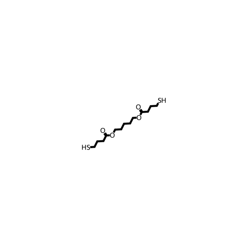 O=C(CCCS)OCCCCCOC(=O)CCCS